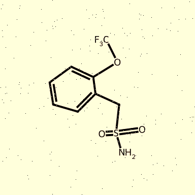 NS(=O)(=O)Cc1ccccc1OC(F)(F)F